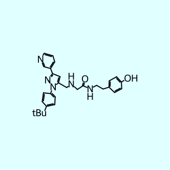 CC(C)(C)c1ccc(-n2nc(-c3cccnc3)cc2CNCC(=O)NCCc2ccc(O)cc2)cc1